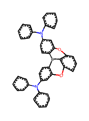 c1ccc(N(c2ccccc2)c2ccc3c(c2)Oc2cccc4c2B3c2ccc(N(c3ccccc3)c3ccccc3)cc2O4)cc1